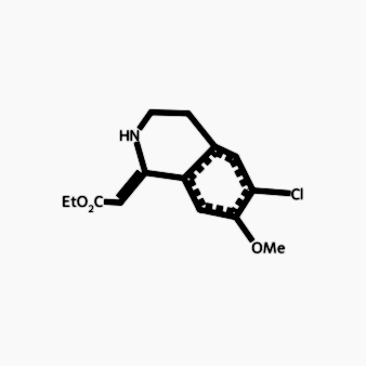 CCOC(=O)C=C1NCCc2cc(Cl)c(OC)cc21